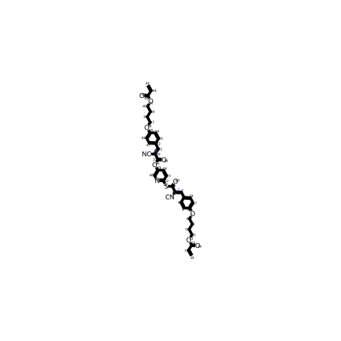 [C-]#[N+]/C(=C\c1ccc(OCCCCOC(=O)C=C)cc1)C(=O)Sc1ccc(OC(=O)/C(C#N)=C/c2ccc(OCCCCOC(=O)C=C)cc2)cn1